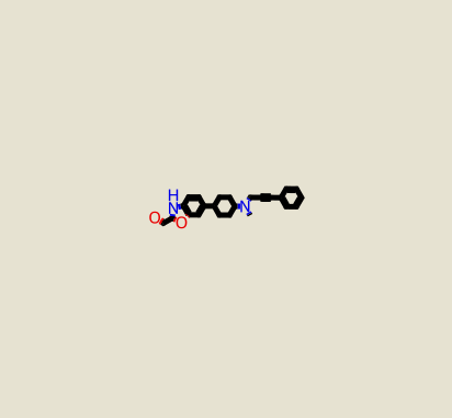 CN(CC#Cc1ccccc1)C1CCC(c2ccc3c(c2)OC(C=O)N3)CC1